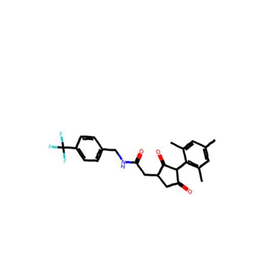 Cc1cc(C)c(C2C(=O)CC(CC(=O)NCc3ccc(C(F)(F)F)cc3)C2=O)c(C)c1